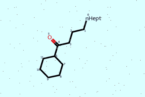 CCCCCCCCCCC(=O)C1CCCCC1